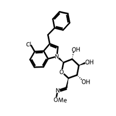 CON=C[C@H]1O[C@@H](n2cc(Cc3ccccc3)c3c(Cl)cccc32)[C@H](O)[C@@H](O)[C@@H]1O